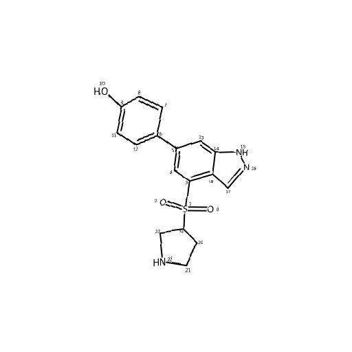 O=S(=O)(c1cc(-c2ccc(O)cc2)cc2[nH]ncc12)C1CCNC1